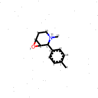 Cc1ccc(C2C3OC3CCN2C)cc1